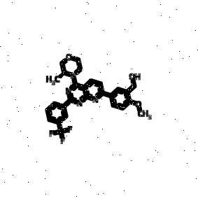 COc1ccc(-c2ccc3c(N4CCOC[C@@H]4C)nc(-c4cccc(C(F)(F)F)c4)nc3n2)cc1CO